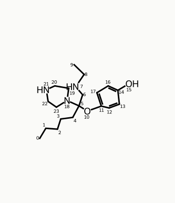 CCCCCC(CNCC)(Oc1ccc(O)cc1)N1CCNCC1